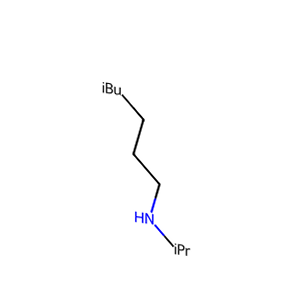 CCC(C)CCCNC(C)C